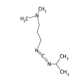 CC(C)N=C=NCCCN(C)C